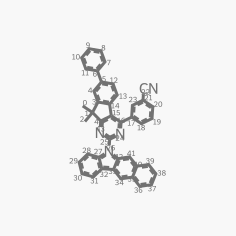 CC1(C)c2cc(-c3ccccc3)ccc2-c2c(-c3cccc(C#N)c3)nc(-n3c4ccccc4c4cc5ccccc5cc43)nc21